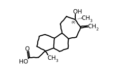 C=C1CC2CCC3C(CCCC3(C)CC(=O)O)C2CC[C@@]1(C)O